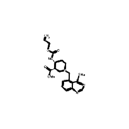 C=CCOC(=O)N[C@@H]1CCN(Cc2cccc3ncnc(SC)c23)C[C@H]1C(=O)OC